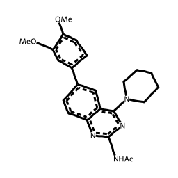 COc1ccc(-c2ccc3nc(NC(C)=O)nc(N4CCCCC4)c3c2)cc1OC